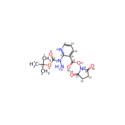 CC(C)(C)OC(=O)N(N)c1ncccc1C(=O)ON1C(=O)CCC1=O